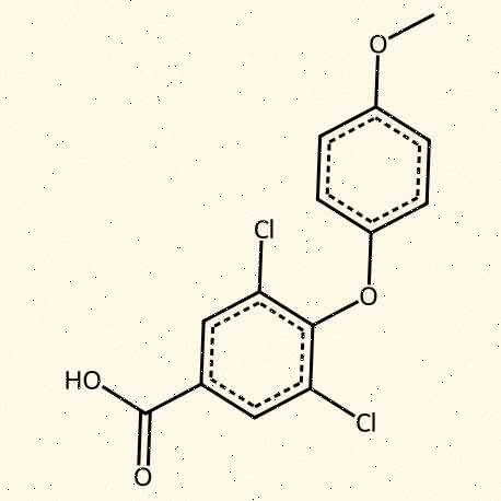 COc1ccc(Oc2c(Cl)cc(C(=O)O)cc2Cl)cc1